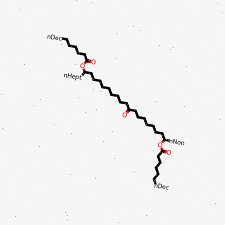 CCCCCCCCCCCCCCCC(=O)OC(CCCCCCC)CCCCCCCCCC(=O)CCCCCCCC(CCCCCCCCC)OC(=O)CCCCCCCCCCCCCCC